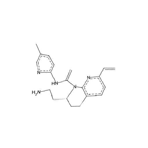 C=Cc1ccc2c(n1)N(C(=C)Nc1ccc(C)cn1)[C@@H](CCN)CC2